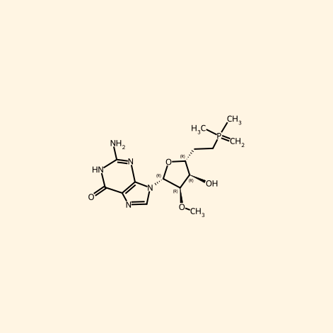 C=P(C)(C)CC[C@H]1O[C@@H](n2cnc3c(=O)[nH]c(N)nc32)[C@H](OC)[C@@H]1O